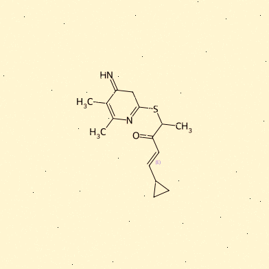 CC1=C(C)C(=N)CC(SC(C)C(=O)/C=C/C2CC2)=N1